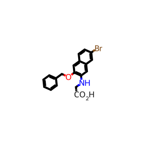 O=C(O)CNc1cc2cc(Br)ccc2cc1OCc1ccccc1